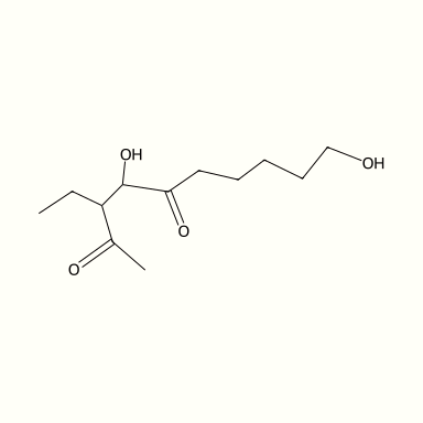 CCC(C(C)=O)C(O)C(=O)CCCCCO